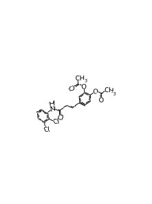 CC(=O)Oc1ccc(CCC(=O)Nc2cccc(Cl)c2Cl)cc1OC(C)=O